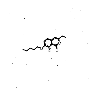 CCCCCOc1ccc2cc(CC)oc(=O)c2c1F